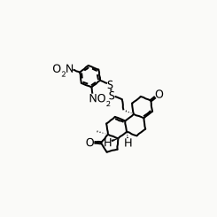 C[C@]12CC=C3[C@@H](CCC4=CC(=O)CC[C@@]43CCSSc3ccc([N+](=O)[O-])cc3[N+](=O)[O-])[C@@H]1CCC2=O